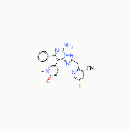 Cn1cc(-c2c(-c3ccccc3)nc(N)n3nc(Cc4ncc(F)cc4C#N)nc23)ccc1=O